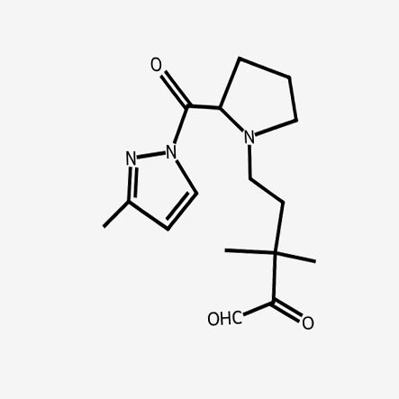 Cc1ccn(C(=O)C2CCCN2CCC(C)(C)C(=O)C=O)n1